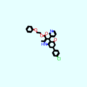 CC1=C(C(=O)OCCOc2ccccc2)C(c2cccnc2)C2=C(CC(c3ccc(Cl)cc3)CC2=O)N1